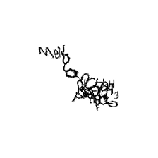 CNc1cccc(Cc2ccc([C@@H]3O[C@@H]4C[C@H]5[C@@H]6C[C@H](F)C7=CC(=O)C=C[C@]7(C)[C@@]6(F)[C@@H](O)C[C@]5(C)[C@]4(C(=O)SCF)O3)cc2)c1